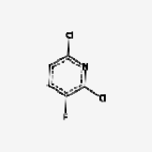 Fc1[c]cc(Cl)nc1Cl